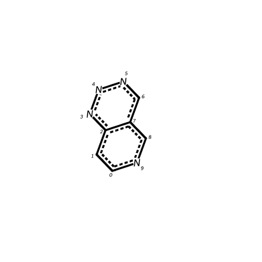 [c]1cc2nnncc2cn1